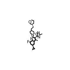 Cc1noc(-c2c(N3CCC(CC[C@@H]4CCCOC4)CC3)nc3c(F)cc(C4=CC4)cc3c2C)n1